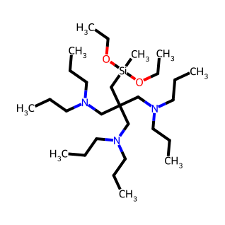 CCCN(CCC)CC(CN(CCC)CCC)(CN(CCC)CCC)C[Si](C)(OCC)OCC